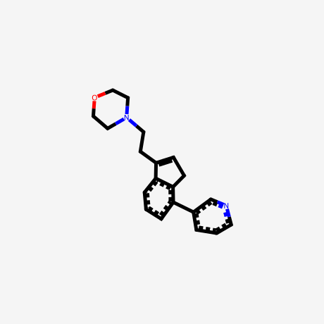 C1=C(CCN2CCOCC2)c2cccc(-c3cccnc3)c2C1